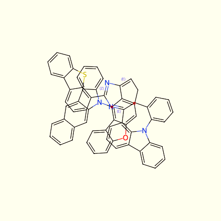 C1=C(c2ccc3oc4ccccc4c3c2-n2c3ccccc3c3cc4ccccc4cc32)/N=C(c2cccc3c2sc2ccccc23)\N=C2\c3cccc4c5ccccc5n(c34)-c3ccccc3C2C/1